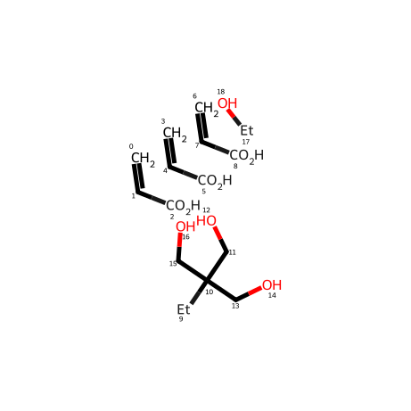 C=CC(=O)O.C=CC(=O)O.C=CC(=O)O.CCC(CO)(CO)CO.CCO